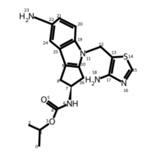 CC(C)OC(=O)N[C@H]1Cc2c(n(Cc3scnc3N)c3ccc(N)cc23)C1